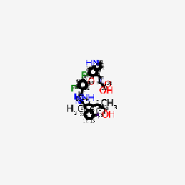 CC(C)(CO)CCCC(C)(c1cccc(I)c1)c1nnc(-c2cc(Oc3c(F)cc4[nH]ccc4c3/C=C/C(=O)O)ccc2F)[nH]1